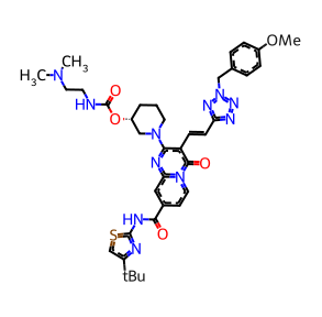 COc1ccc(Cn2nnc(C=Cc3c(N4CCC[C@@H](OC(=O)NCCN(C)C)C4)nc4cc(C(=O)Nc5nc(C(C)(C)C)cs5)ccn4c3=O)n2)cc1